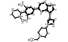 CCN1CCC(n2cc(-c3c[nH]c4ncc(-c5cc(C)c(C6COCCN6C)c(F)c5)nc34)cn2)CC1